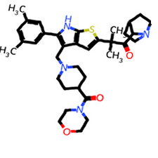 Cc1cc(C)cc(-c2[nH]c3sc(C(C)(C)C(=O)C4C5CCN4CC5)cc3c2CN2CCC(C(=O)N3CCOCC3)CC2)c1